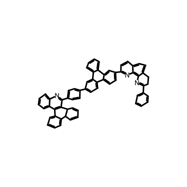 C1=CC2c3ccccc3-c3c(c(-c4ccc(-c5ccc6c7ccc(-c8ccc9ccc%10c(c9n8)N=C(c8ccccc8)CC%10)cc7c7ccccc7c6c5)cc4)nc4ccccc34)C2C=C1